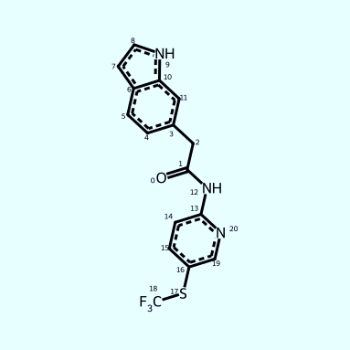 O=C(Cc1ccc2cc[nH]c2c1)Nc1ccc(SC(F)(F)F)cn1